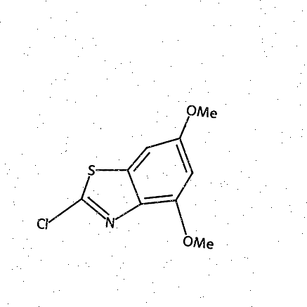 COc1cc(OC)c2nc(Cl)sc2c1